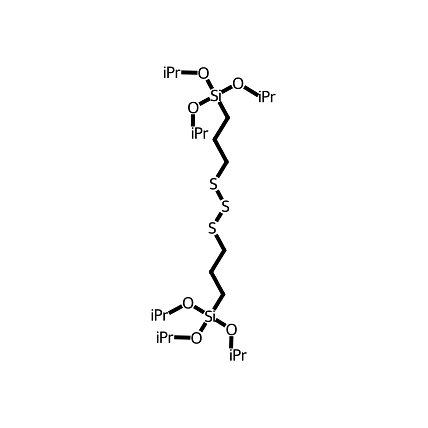 CC(C)O[Si](CCCSSSCCC[Si](OC(C)C)(OC(C)C)OC(C)C)(OC(C)C)OC(C)C